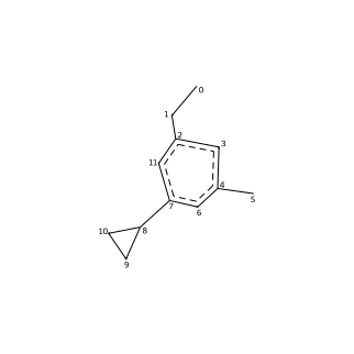 CCc1cc(C)cc(C2CC2)c1